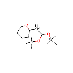 C[Si](C)(C)OC(O[Si](C)(C)C)[SiH2]C1CCCCO1